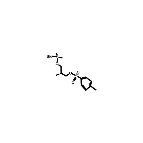 Cc1ccc(S(=O)(=O)OC[C@@H](C)CO[Si](C)(C)C(C)(C)C)cc1